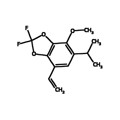 C=Cc1cc(C(C)C)c(OC)c2c1OC(F)(F)O2